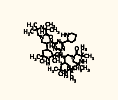 CC1(C)CC(C(CN2CC(C)(C)NC(C)(C)C2=O)Nc2nc(NC(CN3CC(C)(C)NC(C)(C)C3=O)C3CC(C)(C)NC(C)(C)C3)nc(C3CCCCN3)n2)CC(C)(C)N1